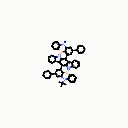 CN1c2ccccc2B2c3c(cc(-c4ccccc4)cc31)-c1c3c4ccccc4n4c3c(c3c5ccccc5n2c13)-c1cc(-c2ccccc2)cc2c1B4c1ccccc1N2C(C)(C)C